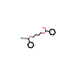 COC(OCCCCOC(O)c1ccccc1)c1ccccc1